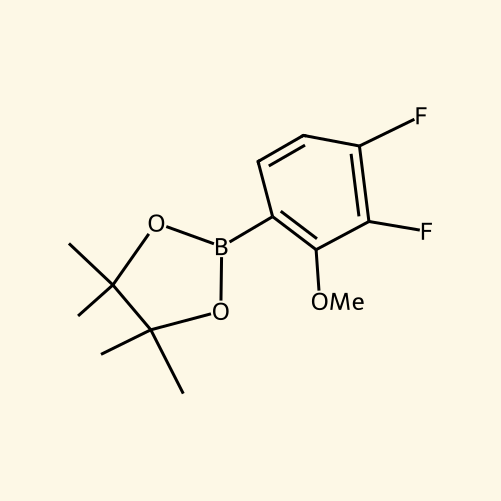 COc1c(B2OC(C)(C)C(C)(C)O2)ccc(F)c1F